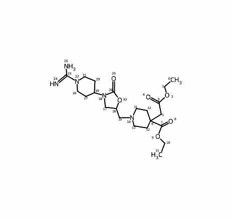 CCOC(=O)CC1(C(=O)OCC)CCN(CC2CN(C3CCN(C(=N)N)CC3)C(=O)O2)CC1